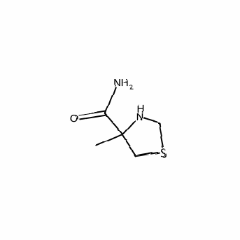 CC1(C(N)=O)CSCN1